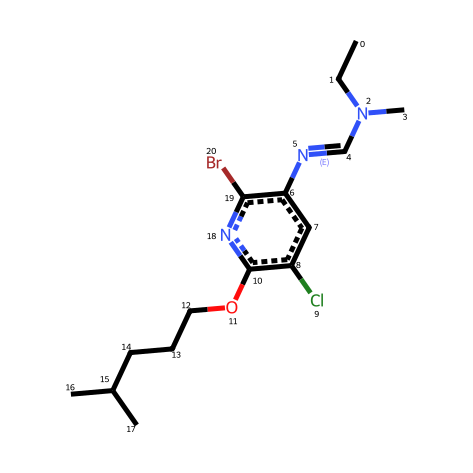 CCN(C)/C=N/c1cc(Cl)c(OCCCC(C)C)nc1Br